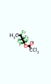 CC(F)C(F)(F)C(F)(F)OC(=O)C(Cl)(Cl)Cl